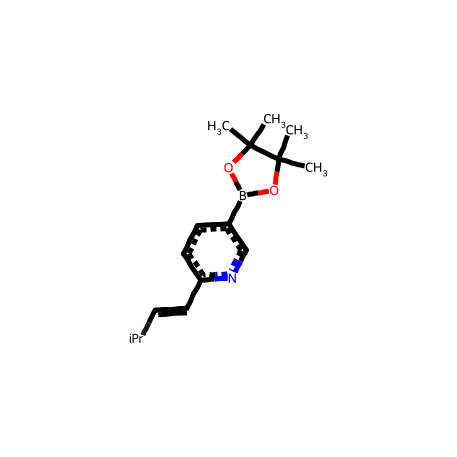 CC(C)C=Cc1ccc(B2OC(C)(C)C(C)(C)O2)cn1